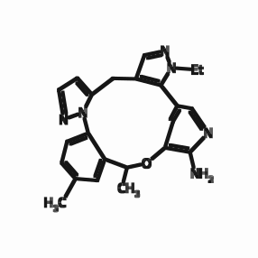 CCn1ncc2c1-c1cnc(N)c(c1)OC(C)c1cc(C)ccc1-n1nccc1C2